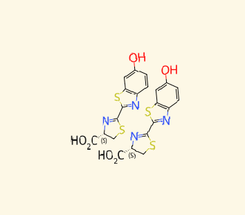 O=C(O)[C@H]1CSC(c2nc3ccc(O)cc3s2)=N1.O=C(O)[C@H]1CSC(c2nc3ccc(O)cc3s2)=N1